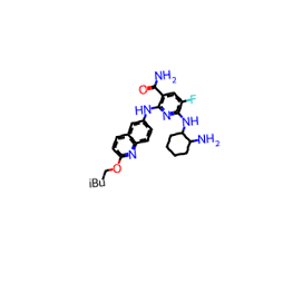 CCC(C)COc1ccc2cc(Nc3nc(NC4CCCCC4N)c(F)cc3C(N)=O)ccc2n1